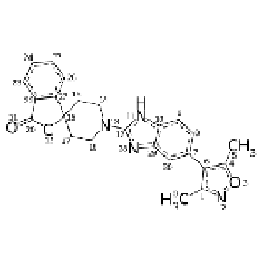 Cc1noc(C)c1-c1ccc2[nH]c(N3CCC4(CC3)OC(=O)c3ccccc34)nc2c1